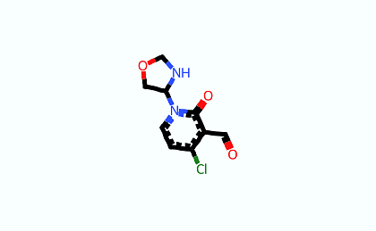 O=Cc1c(Cl)ccn(C2COCN2)c1=O